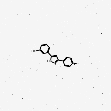 Oc1cccc(-c2cc(-c3ccc(Cl)cc3)n[nH]2)c1